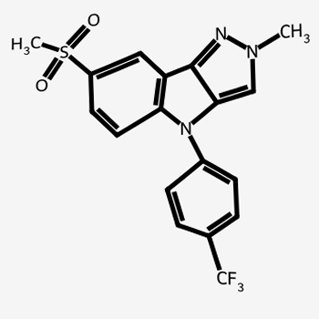 Cn1cc2c(n1)c1cc(S(C)(=O)=O)ccc1n2-c1ccc(C(F)(F)F)cc1